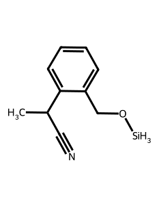 CC(C#N)c1ccccc1CO[SiH3]